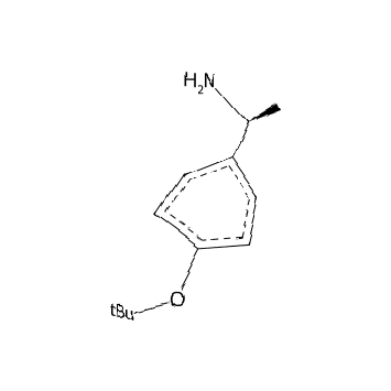 C[C@H](N)c1ccc(OC(C)(C)C)cc1